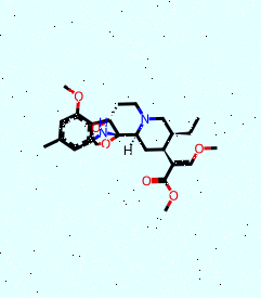 CC[C@@H]1CN2CC[C@@]34OCCO[C@@]3(Nc3cc(C)cc(OC)c34)[C@@H]2C[C@@H]1/C(=C\OC)C(=O)OC